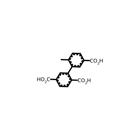 Cc1ccc(C(=O)O)cc1-c1cc(C(=O)O)ccc1C(=O)O